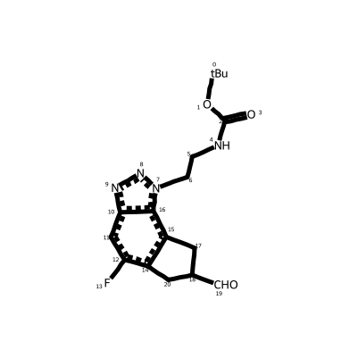 CC(C)(C)OC(=O)NCCn1nnc2cc(F)c3c(c21)CC(C=O)C3